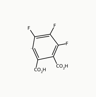 O=C(O)c1[c]c(F)c(F)c(F)c1C(=O)O